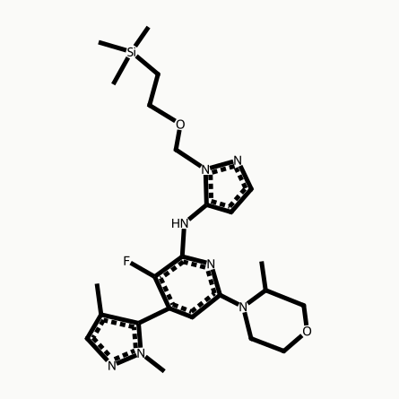 Cc1cnn(C)c1-c1cc(N2CCOCC2C)nc(Nc2ccnn2COCC[Si](C)(C)C)c1F